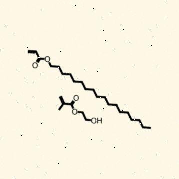 C=C(C)C(=O)OCCO.C=CC(=O)OCCCCCCCCCCCCCCCCCC